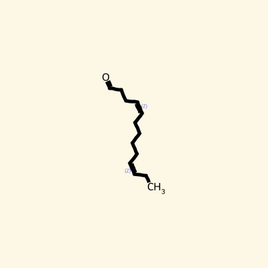 CC/C=C\CCCC/C=C\CCC=O